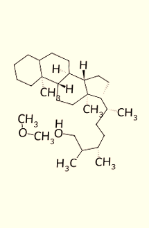 CC(CO)[C@@H](C)CC[C@@H](C)[C@H]1CC[C@H]2[C@@H]3CCC4CCCC[C@]4(C)[C@H]3CC[C@]12C.COC